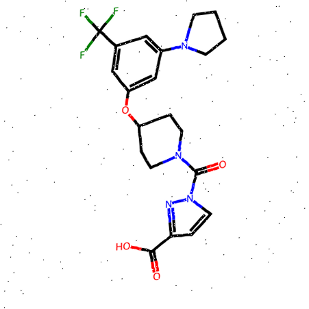 O=C(O)c1ccn(C(=O)N2CCC(Oc3cc(N4CCCC4)cc(C(F)(F)F)c3)CC2)n1